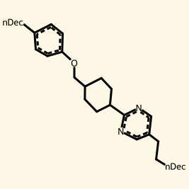 CCCCCCCCCCCCc1cnc(C2CCC(COc3ccc(CCCCCCCCCC)cc3)CC2)nc1